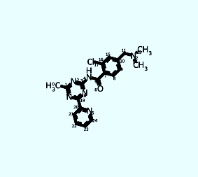 Cc1nc(NC(=O)c2ccc(CN(C)C)cc2Cl)nc(-c2ccccn2)n1